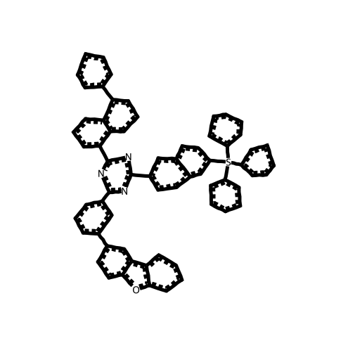 c1ccc(-c2cccc3c(-c4nc(-c5cccc(-c6ccc7oc8ccccc8c7c6)c5)nc(-c5ccc6cc(S(c7ccccc7)(c7ccccc7)c7ccccc7)ccc6c5)n4)cccc23)cc1